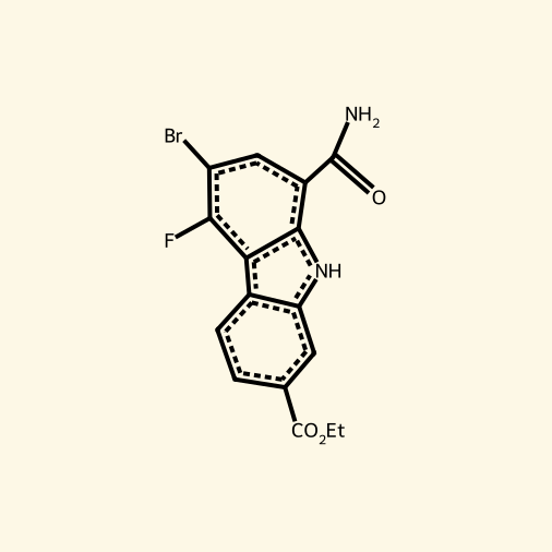 CCOC(=O)c1ccc2c(c1)[nH]c1c(C(N)=O)cc(Br)c(F)c12